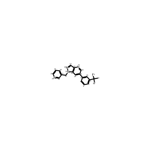 CC(F)(F)c1cccc(-c2cnc3cnn(Cc4cccnc4)c3c2)c1